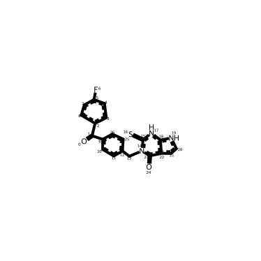 O=C(c1ccc(F)cc1)c1ccc(Cn2c(=S)[nH]c3[nH]ccc3c2=O)cc1